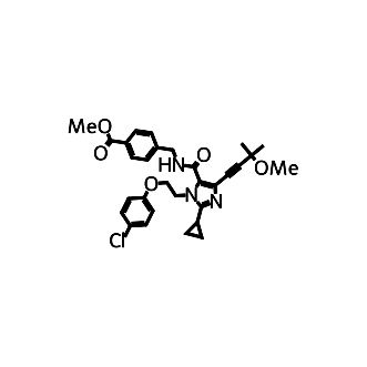 COC(=O)c1ccc(CNC(=O)c2c(C#CC(C)(C)OC)nc(C3CC3)n2CCOc2ccc(Cl)cc2)cc1